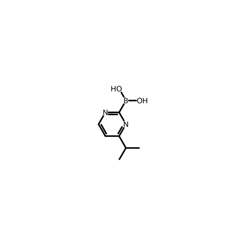 CC(C)c1ccnc(B(O)O)n1